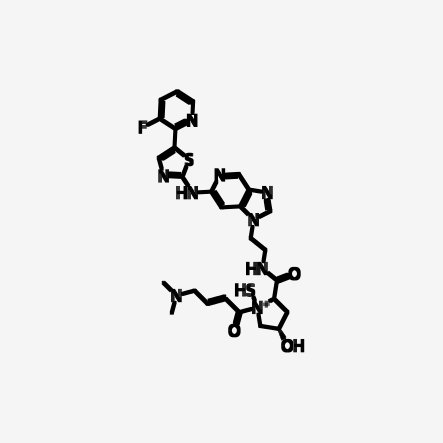 CN(C)C/C=C/C(=O)[N+]1(S)C[C@H](O)CC1C(=O)NCCn1cnc2cnc(Nc3ncc(-c4ncccc4F)s3)cc21